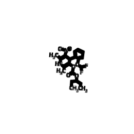 CCC(CC)OC(=O)OC1=C(C)NC(C)=C([N+](=O)[O-])C1c1ccccc1OC(F)F